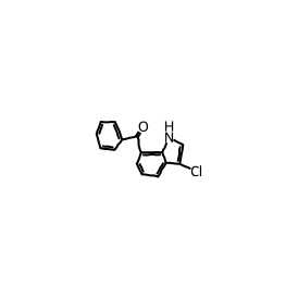 O=C(c1ccccc1)c1cccc2c(Cl)c[nH]c12